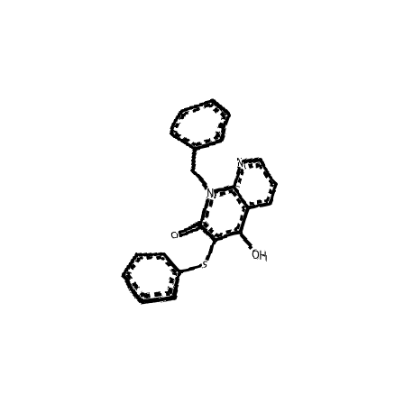 O=c1c(Sc2ccccc2)c(O)c2cccnc2n1Cc1ccccc1